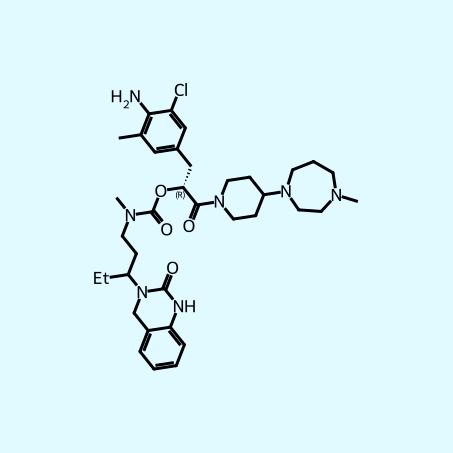 CCC(CCN(C)C(=O)O[C@H](Cc1cc(C)c(N)c(Cl)c1)C(=O)N1CCC(N2CCCN(C)CC2)CC1)N1Cc2ccccc2NC1=O